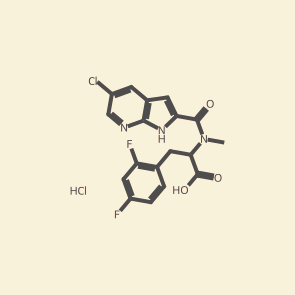 CN(C(=O)c1cc2cc(Cl)cnc2[nH]1)C(Cc1ccc(F)cc1F)C(=O)O.Cl